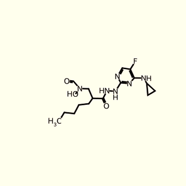 CCCCCC(CN(O)C=O)C(=O)NNc1ncc(F)c(NC2CC2)n1